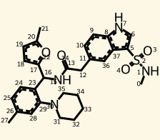 CNS(=O)(=O)c1c[nH]c2ccc(CC(=O)NC(c3ccc(C)o3)c3ccc(C)cc3N3CCCCC3)cc12